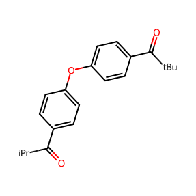 CC(C)C(=O)c1ccc(Oc2ccc(C(=O)C(C)(C)C)cc2)cc1